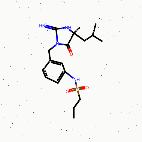 CCCS(=O)(=O)Nc1cccc(CN2C(=N)NC(C)(CC(C)C)C2=O)c1